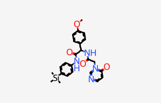 COc1ccc(C(NC(=O)Cn2cnccc2=O)C(=O)Nc2ccc([Si](C)(C)C)cc2)cc1